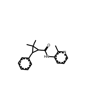 Cc1ncccc1NC(=O)C1C(c2ccccc2)C1(C)C